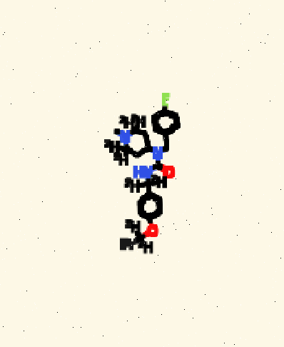 [2H]C([2H])(NC(=O)N(Cc1ccc(F)cc1)C1CC([2H])([2H])N(C)C([2H])([2H])C1)c1ccc(OC([2H])([2H])C(C)C)cc1